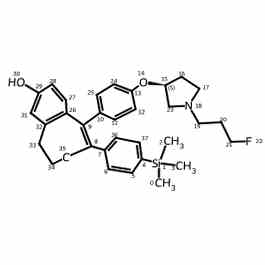 C[Si](C)(C)c1ccc(C2=C(c3ccc(O[C@H]4CCN(CCCF)C4)cc3)c3ccc(O)cc3CCC2)cc1